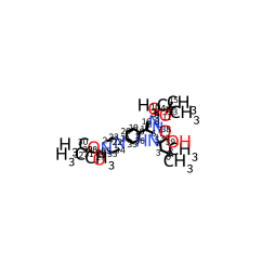 CC(C)CC(Nc1nn(C(=O)OC(C)(C)C)cc1-c1ccc(N2CCN(C(=O)OC(C)(C)C)CC2)cc1)C(=O)O